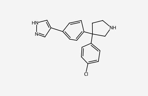 Clc1ccc(C2(c3ccc(-c4cn[nH]c4)cc3)CCNC2)cc1